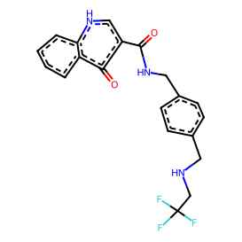 O=C(NCc1ccc(CNCC(F)(F)F)cc1)c1c[nH]c2ccccc2c1=O